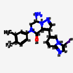 Cc1cc(N2C[C@H](N)n3ncc(-c4ccc5ncc(I)n5c4)c3C2=O)ccc1C(F)(F)F